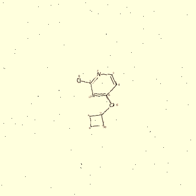 Clc1nccc(OC2CCC2)n1